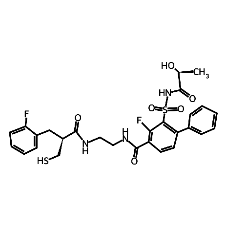 C[C@H](O)C(=O)NS(=O)(=O)c1c(-c2ccccc2)ccc(C(=O)NCCNC(=O)[C@@H](CS)Cc2ccccc2F)c1F